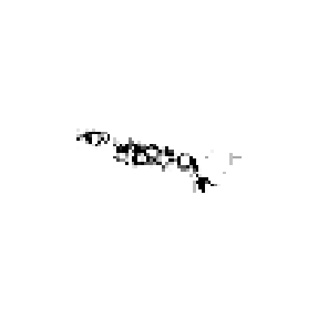 Cc1cc(OCC2(C(=O)O)CC=C(C3=CC[C@@]4(C)C(CC[C@]5(C)C4CC[C@@H]4[C@H]6CCC[C@]6(NCCN6CCS(=O)(=O)CC6)CC[C@]45C)C3(C)C)CC2)ns1